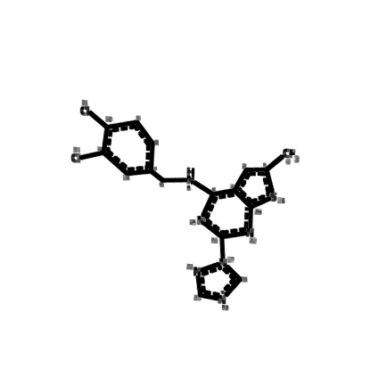 FC(F)(F)c1cc2c(NCc3ccc(Cl)c(Cl)c3)nc(-n3cncn3)nc2s1